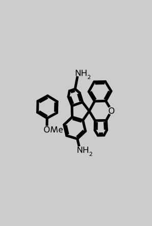 COc1ccccc1.Nc1ccc2c(c1)C1(c3ccccc3Oc3ccccc31)c1cc(N)ccc1-2